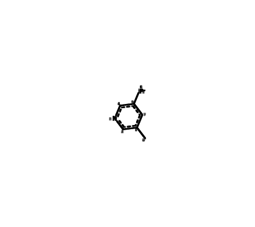 Cc1cncc(C(C)C)c1